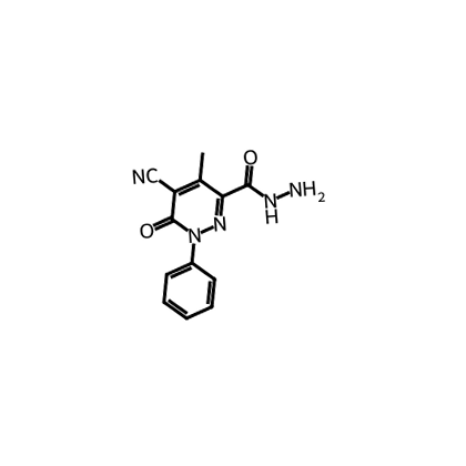 Cc1c(C(=O)NN)nn(-c2ccccc2)c(=O)c1C#N